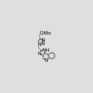 COCc1cn(Cc2nc3cnc4ccccc4c3[nH]2)nn1